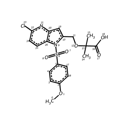 COc1ccc(S(=O)(=O)n2c(COC(C)(C)C(=O)O)cc3nc(Cl)ccc32)cc1